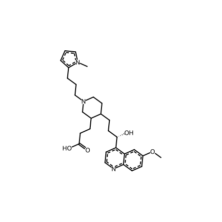 COc1ccc2nccc([C@@H](O)CCC3CCN(CCCc4cccn4C)CC3CCC(=O)O)c2c1